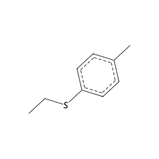 CCSc1ccc(C)cc1